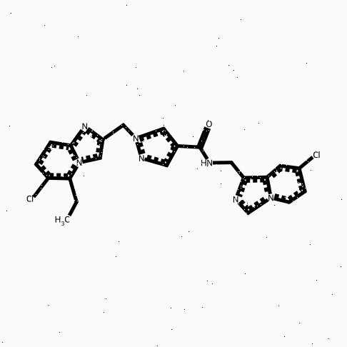 CCc1c(Cl)ccc2nc(Cn3cc(C(=O)NCc4ncn5ccc(Cl)cc45)cn3)cn12